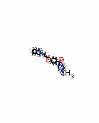 CN1CCN(C(=O)c2ccc(OCCCN3CC4CCCC4C3)cc2)CC1